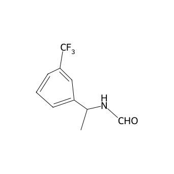 CC(NC=O)c1cccc(C(F)(F)F)c1